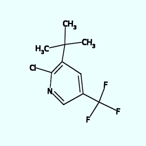 CC(C)(C)c1cc(C(F)(F)F)cnc1Cl